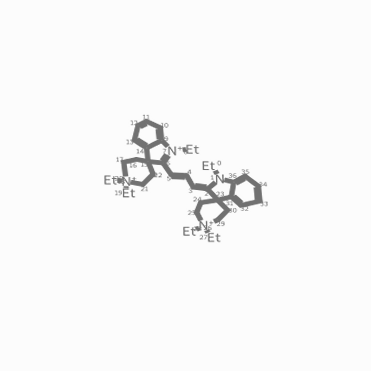 CCN1C(=CC=CC2=[N+](CC)c3ccccc3C23CC[N+](CC)(CC)CC3)C2(CC[N+](CC)(CC)CC2)c2ccccc21